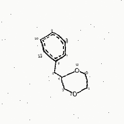 [CH]1COCC(Cc2ccccc2)O1